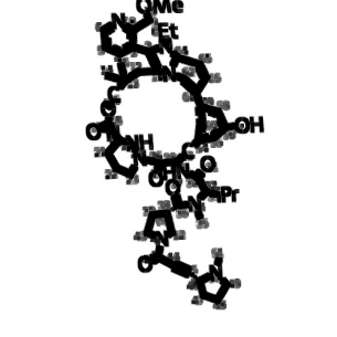 CCN1C(c2cccnc2COC)=C2CC(C)(C)COC(=O)[C@@H]3CCCN(N3)C(=O)[C@@H](NC(=O)C(C(C)C)N(C)C(=O)[C@H]3CCN(C(=O)C#C[C@H]4CCCN4C)C3)Cc3cc(O)cc(c3)C3=CN2C1C=C3